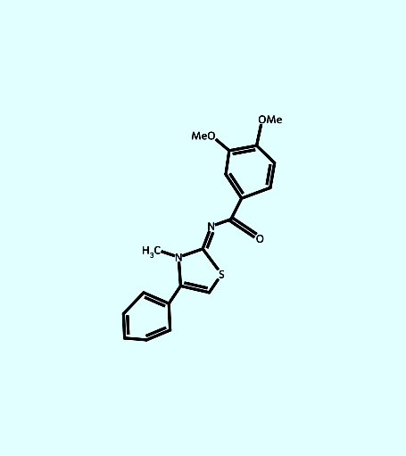 COc1ccc(C(=O)/N=c2\scc(-c3ccccc3)n2C)cc1OC